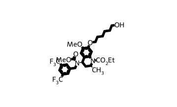 CCOC(=O)N1c2cc(OCCCCCCO)c(OC)cc2[C@@H](N(Cc2cc(C(F)(F)F)cc(C(F)(F)F)c2)C(=O)OC)C[C@H]1C